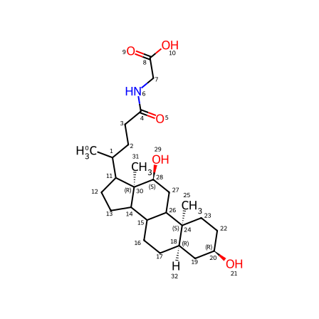 CC(CCC(=O)NCC(=O)O)C1CCC2C3CC[C@@H]4C[C@H](O)CC[C@]4(C)C3C[C@H](O)[C@]12C